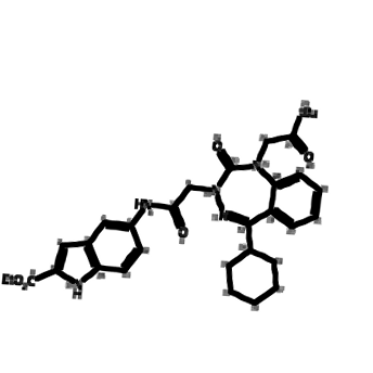 CCOC(=O)c1cc2cc(NC(=O)CN3N=C(C4CCCCC4)c4ccccc4N(CC(=O)C(C)(C)C)C3=O)ccc2[nH]1